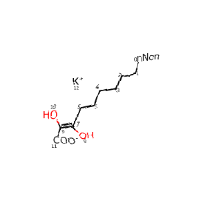 CCCCCCCCCCCCCCCC(O)=C(O)C(=O)[O-].[K+]